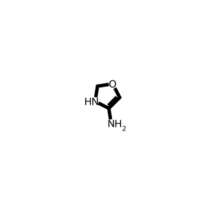 NC1=COCN1